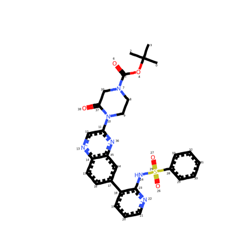 CC(C)(C)OC(=O)N1CCN(c2cnc3ccc(-c4cccnc4NS(=O)(=O)c4ccccc4)cc3n2)C(=O)C1